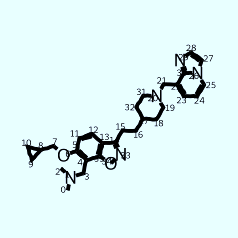 CN(C)Cc1c(OCC2CC2)ccc2c(CCC3CCN(Cc4cccn5ccnc45)CC3)noc12